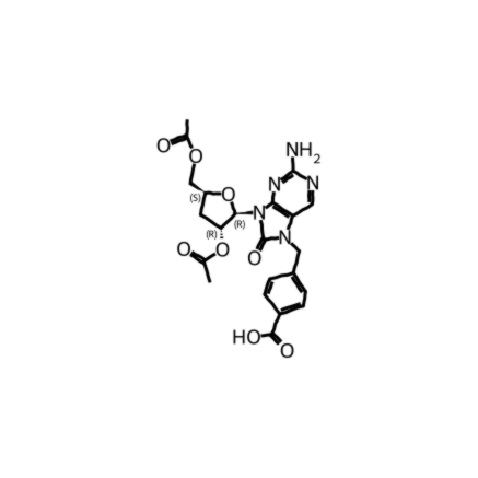 CC(=O)OC[C@@H]1C[C@@H](OC(C)=O)[C@H](n2c(=O)n(Cc3ccc(C(=O)O)cc3)c3cnc(N)nc32)O1